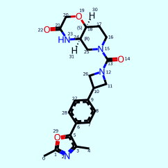 Cc1nc(C)c(-c2ccc(C3CN(C(=O)N4CC[C@@H]5OCC(=O)N[C@@H]5C4)C3)cc2)o1